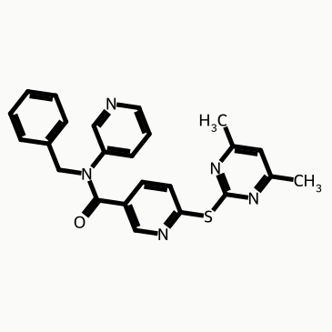 Cc1cc(C)nc(Sc2ccc(C(=O)N(Cc3ccccc3)c3cccnc3)cn2)n1